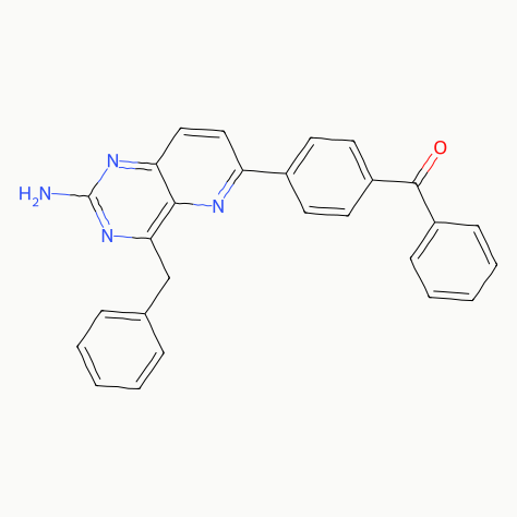 Nc1nc(Cc2ccccc2)c2nc(-c3ccc(C(=O)c4ccccc4)cc3)ccc2n1